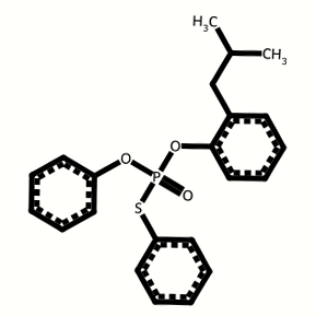 CC(C)Cc1ccccc1OP(=O)(Oc1ccccc1)Sc1ccccc1